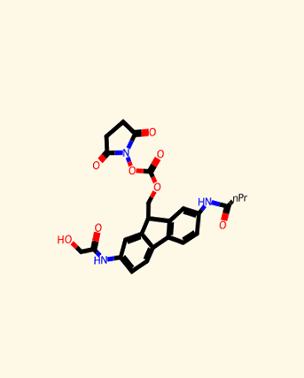 CCCC(=O)Nc1ccc2c(c1)C(COC(=O)ON1C(=O)CCC1=O)c1cc(NC(=O)CO)ccc1-2